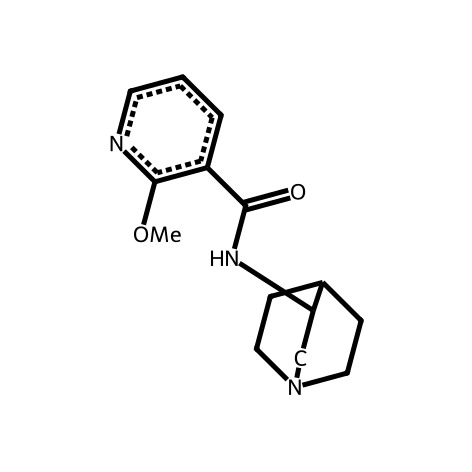 COc1ncccc1C(=O)NC1CN2CCC1CC2